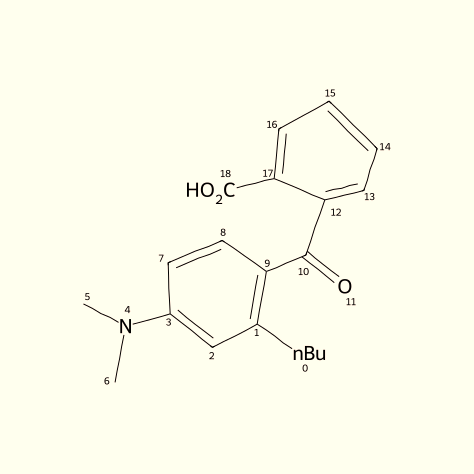 CCCCc1cc(N(C)C)ccc1C(=O)c1ccccc1C(=O)O